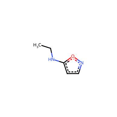 CCNc1ccno1